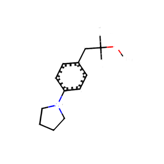 CC(C)(C)OC(Cc1ccc(N2CCCC2)cc1)(C(=O)O)C(=O)O